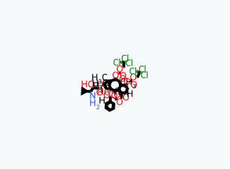 CC(=O)O[C@@]12CO[C@@H]1C[C@H](OC(=O)OCC(Cl)(Cl)Cl)[C@@]1(C)C(=O)[C@H](OC(=O)OCC(Cl)(Cl)Cl)C3=C(C)[C@@H](OC(=O)C(O)C(N)C4CC4)C[C@@](O)([C@@H](OC(=O)c4ccccc4)[C@H]21)C3(C)C